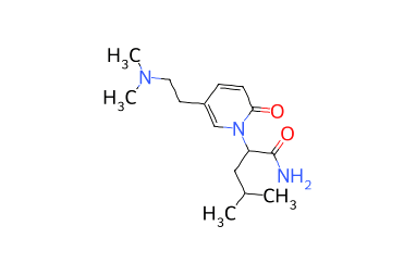 CC(C)CC(C(N)=O)n1cc(CCN(C)C)ccc1=O